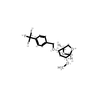 CO[C@@H]1C[C@H](OCc2ccc(C(F)(F)F)cc2)[C@H]2CO[C@@H]1O2